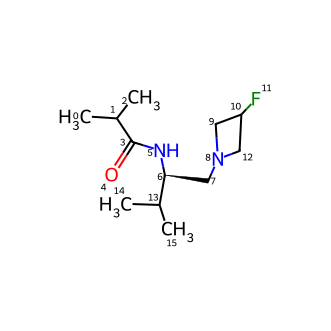 CC(C)C(=O)N[C@@H](CN1CC(F)C1)C(C)C